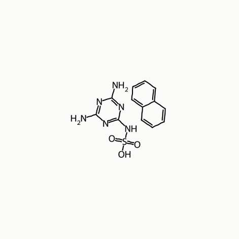 Nc1nc(N)nc(NS(=O)(=O)O)n1.c1ccc2ccccc2c1